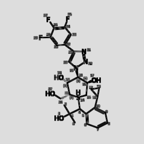 CC(C)(O)C(c1ccccc1C1CC1)[SH]1C[C@H](O)[C@H](n2cc(-c3cc(F)c(F)c(F)c3)nn2)[C@@H](O)[C@H]1CO